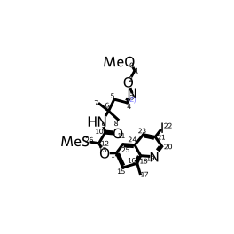 COCO/N=C\CC(C)(C)NC(=O)C(Oc1cc(C)c2ncc(I)cc2c1)SC